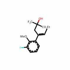 C/C=C(\CC(O)(C(=O)OCC)C(F)(F)F)c1cccc(F)c1OC